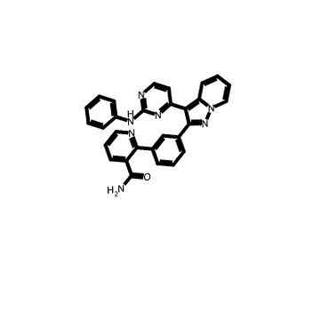 NC(=O)c1cccnc1-c1cccc(-c2nn3ccccc3c2-c2ccnc(Nc3ccccc3)n2)c1